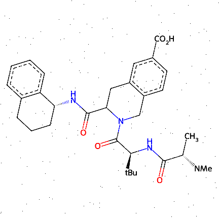 CN[C@@H](C)C(=O)N[C@H](C(=O)N1Cc2ccc(C(=O)O)cc2CC1C(=O)N[C@@H]1CCCc2ccccc21)C(C)(C)C